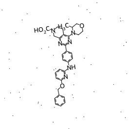 CC1COCCN1c1nc(-c2ccc(Nc3cccc(OCc4ccccc4)n3)cc2)nc2c1CCN(C(=O)O)C2